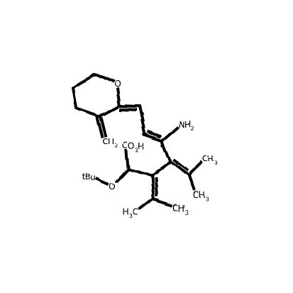 C=C1CCCO/C1=C/C=C(\N)C(=C(C)C)C(=C(C)C)C(OC(C)(C)C)C(=O)O